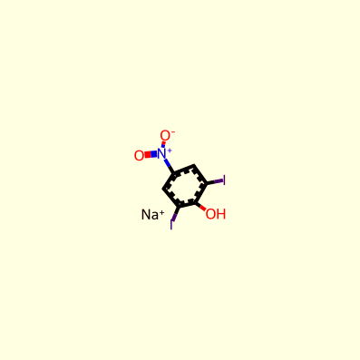 O=[N+]([O-])c1cc(I)c(O)c(I)c1.[Na+]